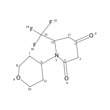 O=C1CC(=O)N(C2CCOCC2)C(C(F)(F)F)C1